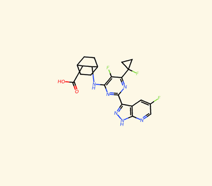 O=C(O)C1C2CCC(CC2)C1Nc1nc(-c2n[nH]c3ncc(F)cc23)nc(C2(F)CC2)c1F